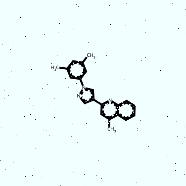 Cc1cc(C)cc(-n2cc(-c3cc(C)c4ccccc4n3)cn2)c1